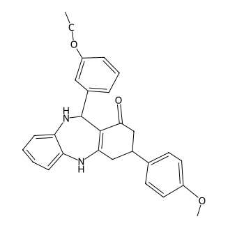 CCOc1cccc(C2Nc3ccccc3NC3=C2C(=O)CC(c2ccc(OC)cc2)C3)c1